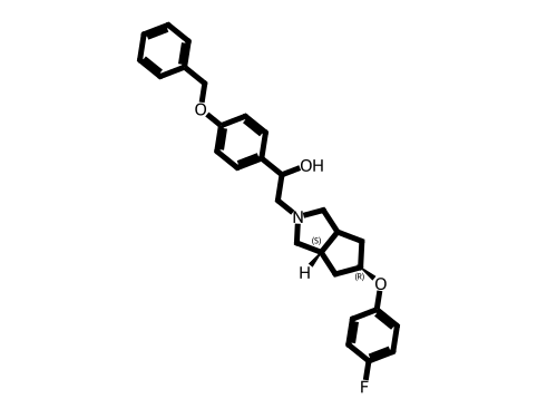 OC(CN1CC2C[C@@H](Oc3ccc(F)cc3)C[C@@H]2C1)c1ccc(OCc2ccccc2)cc1